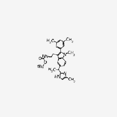 Cc1cc(C)cc(-c2c(CCNC(=O)OC(C)(C)C)c3cc(C(C)c4nc(C)c[nH]4)ccc3n2C)c1